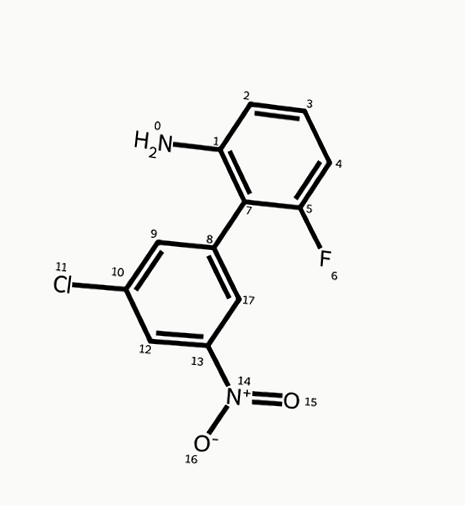 Nc1cccc(F)c1-c1cc(Cl)cc([N+](=O)[O-])c1